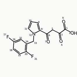 O=C(O)C(=O)CC(=O)c1cccn1Cc1cc(F)ccc1F